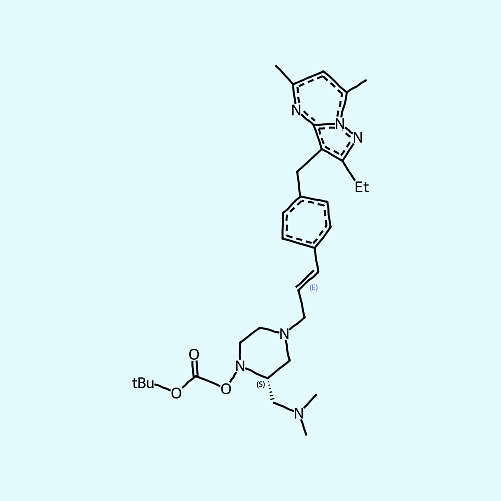 CCc1nn2c(C)cc(C)nc2c1Cc1ccc(/C=C/CN2CCN(OC(=O)OC(C)(C)C)[C@@H](CN(C)C)C2)cc1